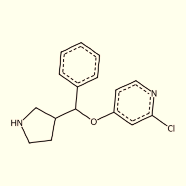 Clc1cc(OC(c2ccccc2)C2CCNC2)ccn1